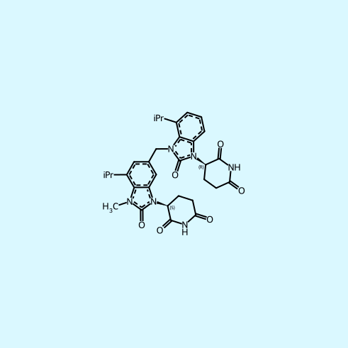 CC(C)c1cc(Cn2c(=O)n([C@@H]3CCC(=O)NC3=O)c3cccc(C(C)C)c32)cc2c1n(C)c(=O)n2[C@H]1CCC(=O)NC1=O